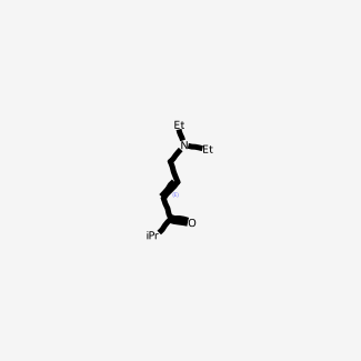 CCN(CC)C/C=C/C(=O)C(C)C